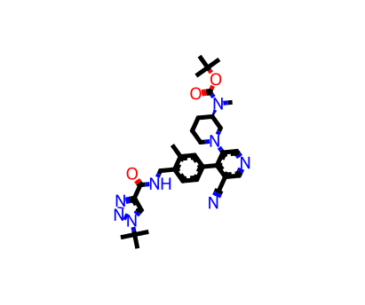 Cc1cc(-c2c(C#N)cncc2N2CCC[C@@H](N(C)C(=O)OC(C)(C)C)C2)ccc1CNC(=O)c1cn(C(C)(C)C)nn1